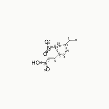 CCc1ccc(C=CC(=O)O)c([N+](=O)[O-])c1